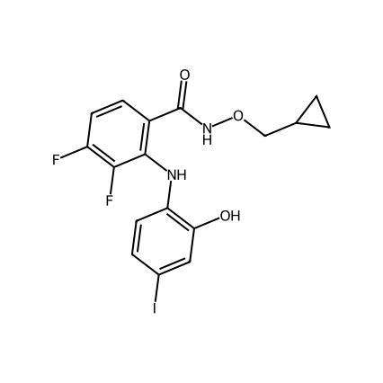 O=C(NOCC1CC1)c1ccc(F)c(F)c1Nc1ccc(I)cc1O